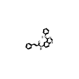 O=C(C=Cc1ccccc1)Nc1ccc2ncnc(Nc3ccccc3)c2c1